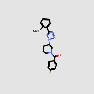 COc1ccccc1-c1nnn([C@H]2CCCN(C(=O)c3ccc(F)cc3)C2)n1